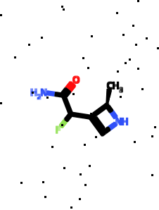 C[C@H]1NC=C1C(F)C(N)=O